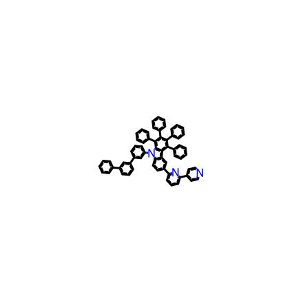 c1ccc(-c2cccc(-c3cccc(-n4c5ccc(-c6cccc(-c7ccncc7)n6)cc5c5c(-c6ccccc6)c(-c6ccccc6)c(-c6ccccc6)c(-c6ccccc6)c54)c3)c2)cc1